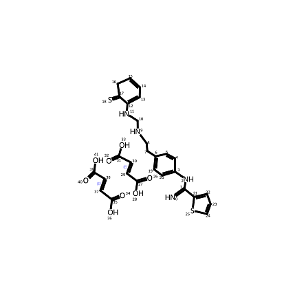 N=C(Nc1ccc(CCNCNC2=CC=CCC2=S)cc1)c1cccs1.O=C(O)/C=C/C(=O)O.O=C(O)/C=C/C(=O)O